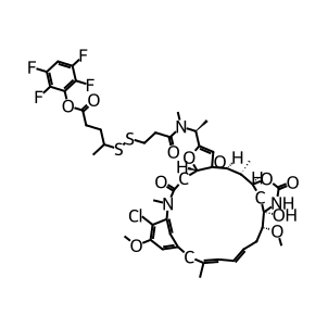 COc1cc2cc(c1Cl)N(C)C(=O)C[C@@H]1OC([C@H](C)N(C)C(=O)CCSSC(C)CCC(=O)Oc3c(F)c(F)cc(F)c3F)=C[C@]13O[C@H]3[C@H](C)[C@@H]1C[C@@](O)(NC(=O)O1)[C@H](OC)C/C=C/C=C(\C)C2